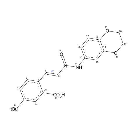 CC(C)(C)c1ccc(/C=C/C(=O)Nc2ccc3c(c2)OCCO3)c(C(=O)O)c1